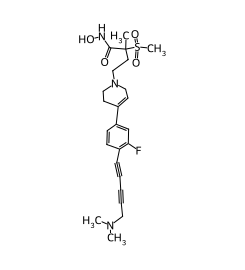 CN(C)CC#CC#Cc1ccc(C2=CCN(CCC(C)(C(=O)NO)S(C)(=O)=O)CC2)cc1F